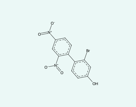 O=[N+]([O-])c1ccc(-c2ccc(O)cc2Br)c([N+](=O)[O-])c1